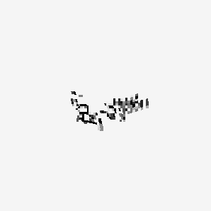 COc1ccc2c(ncc3ncn(Cc4ccc(S(=O)(=O)NP(=O)(O)O)cn4)c32)n1